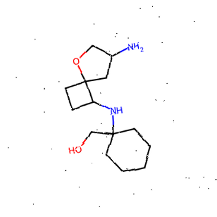 NC1COC2(CCC2NC2(CO)CCCCC2)C1